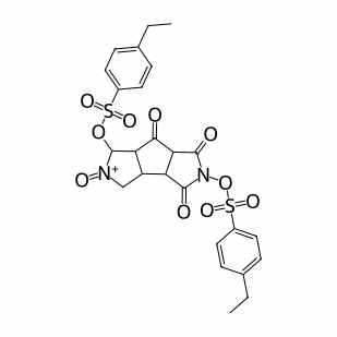 CCc1ccc(S(=O)(=O)OC2C3C(=O)C4C(=O)N(OS(=O)(=O)c5ccc(CC)cc5)C(=O)C4C3C[N+]2=O)cc1